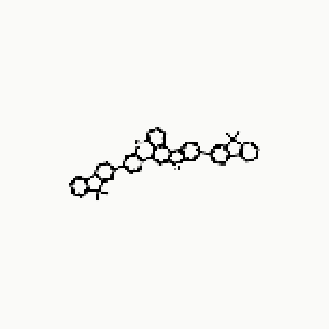 CC1(C)C2=C(CCC=C2)c2ccc(-c3ccc4c(c3)sc3cc5c6c(cccc6c34)Sc3cc(-c4ccc6c(c4)C(C)(C)c4ccccc4-6)ccc3-5)cc21